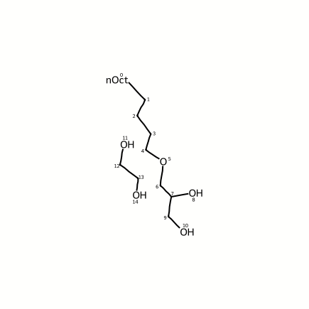 CCCCCCCCCCCCOCC(O)CO.OCCO